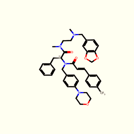 CN(CCN(C)C(=O)[C@H](Cc1ccccc1)N(Cc1ccc(N2CCOCC2)cc1)C(=O)C=Cc1ccc(C(F)(F)F)cc1)Cc1ccc2c(c1)OCO2